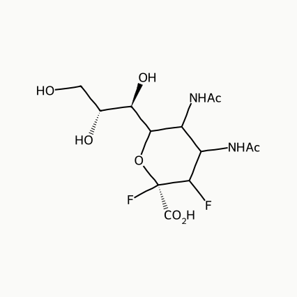 CC(=O)NC1C(NC(C)=O)C(F)[C@](F)(C(=O)O)OC1[C@H](O)[C@H](O)CO